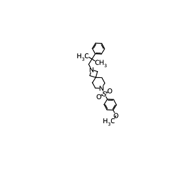 COc1ccc(S(=O)(=O)N2CCC3(CC2)CN(CC(C)(C)c2ccccc2)C3)cc1